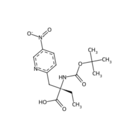 CC[C@@](Cc1ccc([N+](=O)[O-])cn1)(NC(=O)OC(C)(C)C)C(=O)O